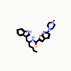 CCCCC(Cc1c[nH]c2ccccc12)NC(=O)c1cc2ccc(N3CCN(C)CC3)nc2s1